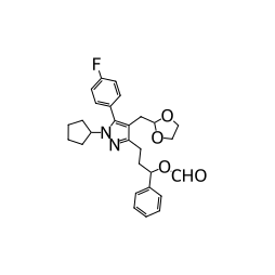 O=COC(CCc1nn(C2CCCC2)c(-c2ccc(F)cc2)c1CC1OCCO1)c1ccccc1